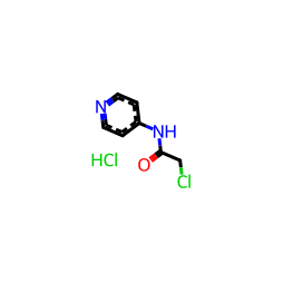 Cl.O=C(CCl)Nc1ccncc1